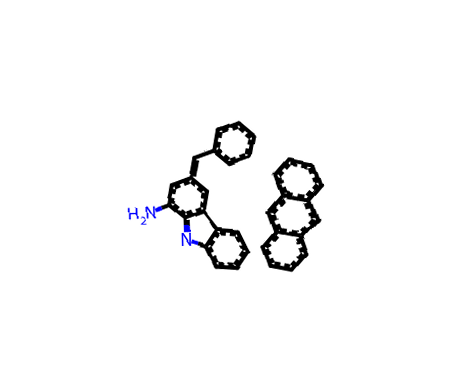 Nc1cc(=Cc2ccccc2)cc2c1=Nc1ccccc1-2.c1ccc2cc3ccccc3cc2c1